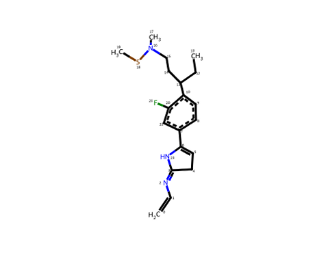 C=C/N=C1\CC=C(c2ccc(C(CC)CCN(C)SC)c(F)c2)N1